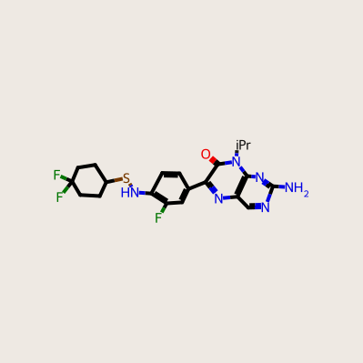 CC(C)n1c(=O)c(-c2ccc(NSC3CCC(F)(F)CC3)c(F)c2)nc2cnc(N)nc21